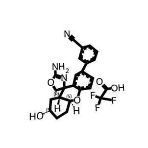 N#Cc1cccc(-c2ccc3c(c2)C2(COC(N)=N2)[C@H]2C[C@@H](O)CC[C@@H]2O3)c1.O=C(O)C(F)(F)F